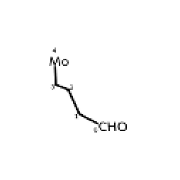 O=CCC[CH2][Mo]